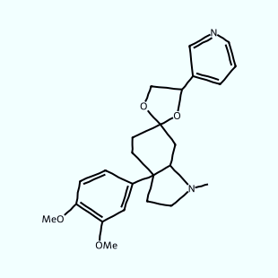 COc1ccc(C23CCN(C)C2CC2(CC3)OCC(c3cccnc3)O2)cc1OC